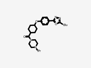 CC(C)N1CCN(C(=O)C2CCC(Oc3ccc(-c4nnc(C(C)(C)C)o4)cc3)CC2)CC1